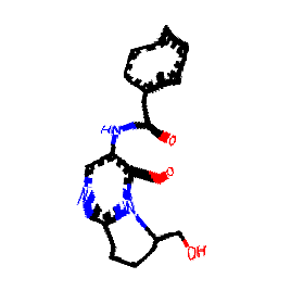 O=C(Nc1cnc2n(c1=O)C(CO)CC2)c1ccccc1